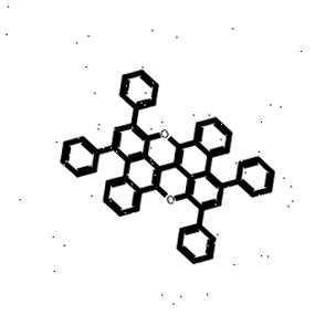 c1ccc(-c2cc(-c3ccccc3)c3c4ccccc4c4oc5c(-c6ccccc6)cc(-c6ccccc6)c6c7ccccc7c7oc2c3c4-c7c56)cc1